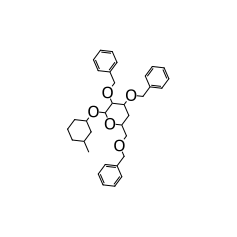 CC1CCCC(OC2OC(COCc3ccccc3)CC(OCc3ccccc3)C2OCc2ccccc2)C1